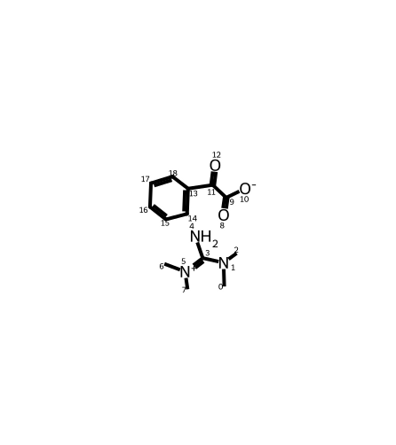 CN(C)C(N)=[N+](C)C.O=C([O-])C(=O)c1ccccc1